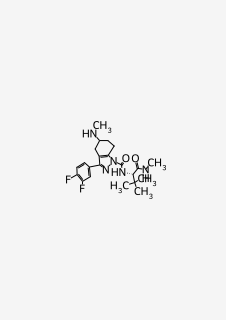 CNC(=O)[C@@H](NC(=O)n1nc(-c2ccc(F)c(F)c2)c2c1CCC(NC)C2)C(C)(C)C